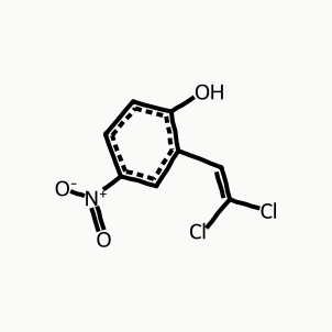 O=[N+]([O-])c1ccc(O)c(C=C(Cl)Cl)c1